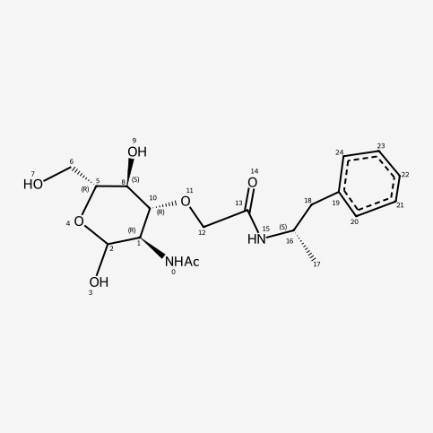 CC(=O)N[C@H]1C(O)O[C@H](CO)[C@@H](O)[C@@H]1OCC(=O)N[C@@H](C)Cc1ccccc1